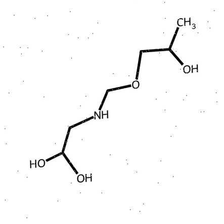 CC(O)COCNCC(O)O